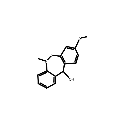 CSc1ccc2c(c1)SN(C)c1ccccc1C2O